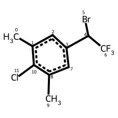 Cc1cc(C(Br)C(F)(F)F)cc(C)c1Cl